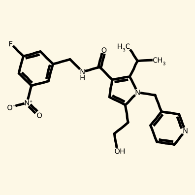 CC(C)c1c(C(=O)NCc2cc(F)cc([N+](=O)[O-])c2)cc(CCO)n1Cc1cccnc1